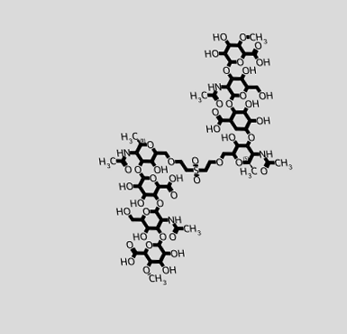 COC1C(C(=O)O)OC(OC2C(O)C(CO)OC(OC3C(C(=O)O)CC(OC4C(O)C(COCCS(=O)(=O)CCOCC5O[C@H](C)C(NC(C)=O)C(OC6OC(C(=O)O)C(OC7OC(CO)C(O)C(OC8OC(C(=O)O)C(OC)C(O)C8O)C7NC(C)=O)C(O)C6O)C5O)O[C@@H](C)C4NC(C)=O)C(O)C3O)C2NC(C)=O)C(O)C1O